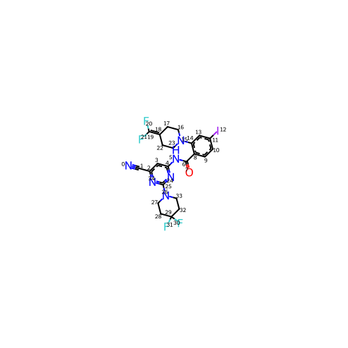 N#Cc1cc(NC(=O)c2ccc(I)cc2N2CCC(=C(F)F)CC2)nc(N2CCC(F)(F)CC2)n1